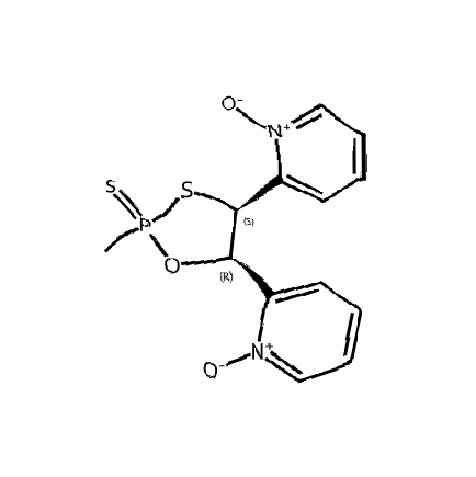 CP1(=S)O[C@H](c2cccc[n+]2[O-])[C@H](c2cccc[n+]2[O-])S1